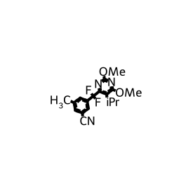 COc1nc(OC)c(C(C)C)c(C(F)(F)c2cc(C)cc(C#N)c2)n1